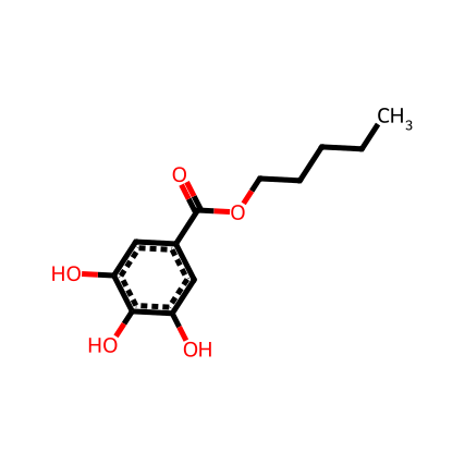 CCCCCOC(=O)c1cc(O)c(O)c(O)c1